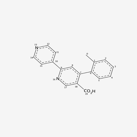 Cc1ccccc1-c1cc(-c2ccncc2)ncc1C(=O)O